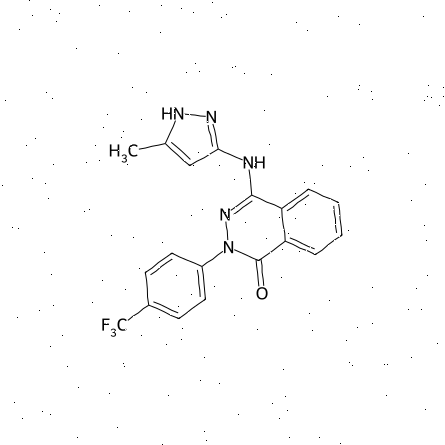 Cc1cc(Nc2nn(-c3ccc(C(F)(F)F)cc3)c(=O)c3ccccc23)n[nH]1